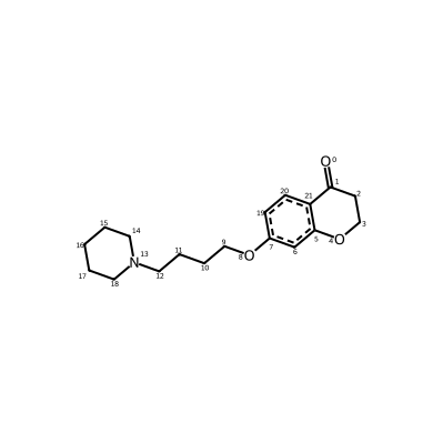 O=C1CCOc2cc(OCCCCN3CCCCC3)ccc21